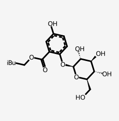 CCC(C)COC(=O)c1cc(O)ccc1O[C@@H]1O[C@H](CO)[C@@H](O)[C@H](O)[C@H]1O